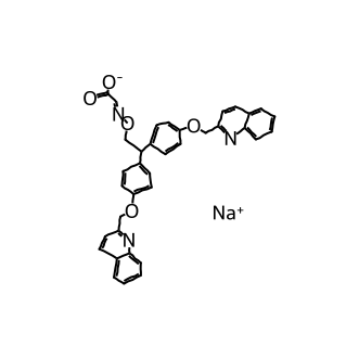 O=C([O-])C=NOCC(c1ccc(OCc2ccc3ccccc3n2)cc1)c1ccc(OCc2ccc3ccccc3n2)cc1.[Na+]